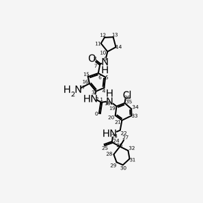 C=C(Nc1ccc(C(=O)NC2CCCC2)cc1N)Nc1cc(CNC(=C)C2(C)CCCCC2)ccc1Cl